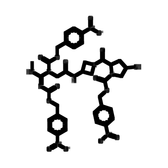 CNC(=NC(=O)OCc1ccc([N+](=O)[O-])cc1)N(CC(=O)NC1CN(C(=O)C2CC(S)CN2C(=O)OCc2ccc([N+](=O)[O-])cc2)C1)C(=O)OCc1ccc([N+](=O)[O-])cc1